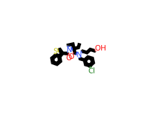 CCC1(C(=O)N(CCCCO)Cc2cccc(Cl)c2)CCN1C(=O)c1csc2ccccc12